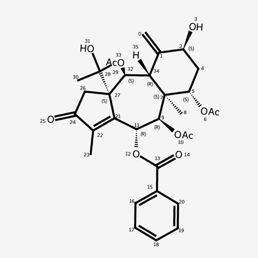 C=C1[C@@H](O)C[C@H](OC(C)=O)[C@@]2(C)[C@@H](OC(C)=O)[C@H](OC(=O)c3ccccc3)C3=C(C)C(=O)C[C@@]3(C(C)(C)O)[C@@H](OC(C)=O)[C@H]12